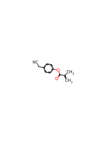 C=C(C)C(=O)Oc1ccc(CC#N)cc1